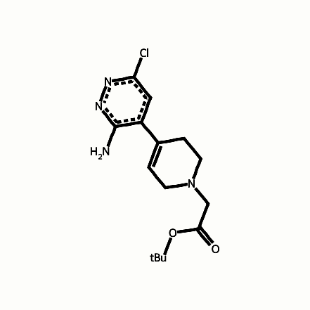 CC(C)(C)OC(=O)CN1CC=C(c2cc(Cl)nnc2N)CC1